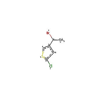 CC(Br)c1csc(Cl)c1